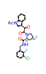 CC(=O)n1cc(C(=O)C(=O)N2C[C@H](F)C[C@H]2C(=O)NCc2cccc(Cl)c2F)c2ccccc21